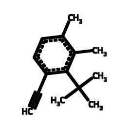 C#Cc1ccc(C)c(C)c1C(C)(C)C